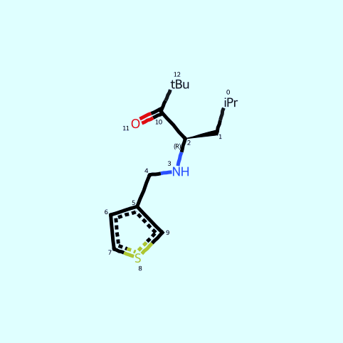 CC(C)C[C@@H](NCc1ccsc1)C(=O)C(C)(C)C